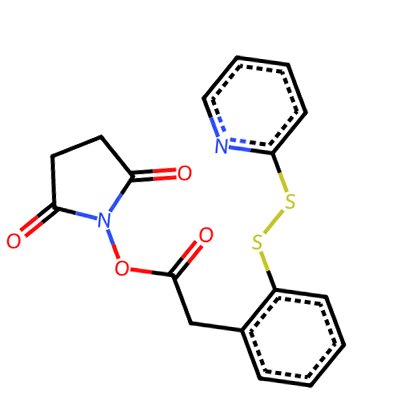 O=C(Cc1ccccc1SSc1ccccn1)ON1C(=O)CCC1=O